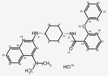 CN(C)c1cc(N[C@H]2CC[C@@H](NC(=O)c3cccnc3Oc3ccccc3)CC2)nc2ccccc12.Cl